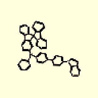 c1ccc(N(c2ccc(-c3ccc(-n4ccc5ccccc54)cc3)cc2)c2ccc3c(c2)C2(c4ccccc4-c4ccccc42)c2ccccc2-3)cc1